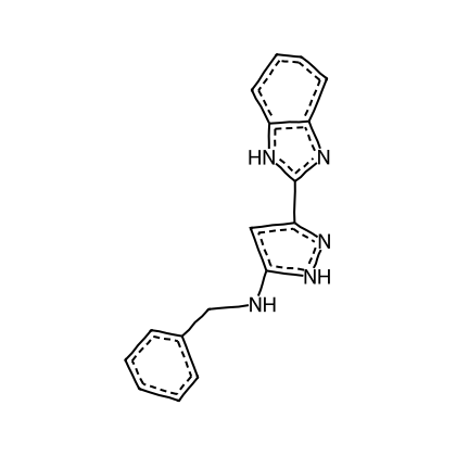 c1ccc(CNc2cc(-c3nc4ccccc4[nH]3)n[nH]2)cc1